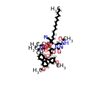 CCCCCCCCCCCCCCCCO[C@@H]1[C@H](OP(=O)(OOCCC#N)ON(C(C)C)C(C)C)[C@@H](COC(c2ccccc2)(c2ccc(OC)cc2)c2ccc(OC)cc2)O[C@H]1n1ccc(NC(C)=O)nc1=O